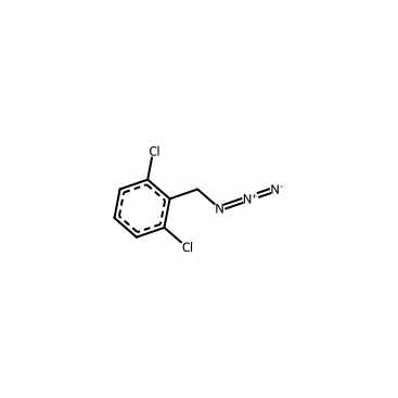 [N-]=[N+]=NCc1c(Cl)cccc1Cl